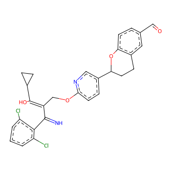 N=C(/C(COc1ccc(C2CCc3cc(C=O)ccc3O2)cn1)=C(\O)C1CC1)c1c(Cl)cccc1Cl